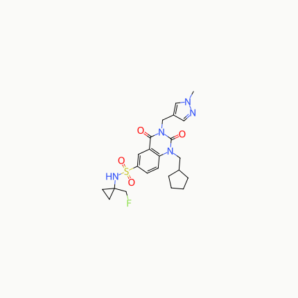 Cn1cc(Cn2c(=O)c3cc(S(=O)(=O)NC4(CF)CC4)ccc3n(CC3CCCC3)c2=O)cn1